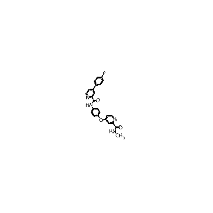 CNC(=O)c1cc(Oc2ccc(NC(=O)c3cc(-c4ccc(F)cc4)ccn3)cc2)ccn1